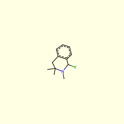 CN1C(F)c2ccccc2CC1(C)C